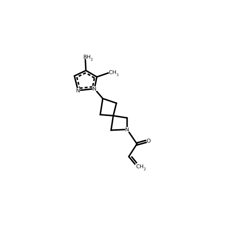 Bc1cnn(C2CC3(C2)CN(C(=O)C=C)C3)c1C